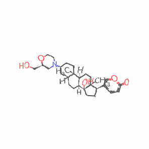 C[C@]12CC[C@H](N3CCO[C@H](CO)C3)C[C@H]1CC[C@@H]1[C@@H]2CC[C@]2(C)[C@@H](c3ccc(=O)oc3)CC[C@]12O